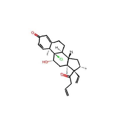 C=CCC(=O)[C@@]1(C=C)[C@@H](C)C[C@H]2[C@@H]3CCC4=CC(=O)C=C[C@]4(C)[C@@]3(Cl)[C@@H](O)C[C@@]21C